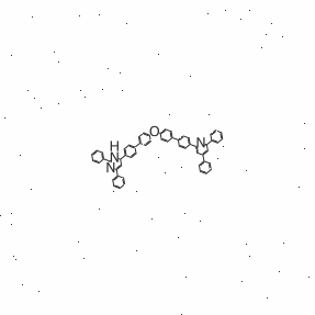 C1=C(c2ccccc2)N=C(c2ccccc2)NC1c1ccc(-c2ccc(Oc3ccc(-c4ccc(-c5cc(-c6ccccc6)cc(-c6ccccc6)n5)cc4)cc3)cc2)cc1